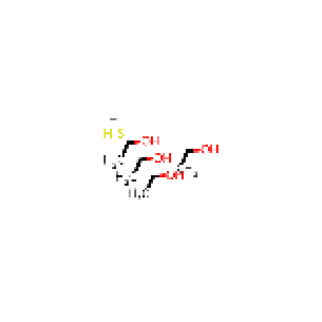 CCO.CCO.CCO.CCO.S.[Ti]